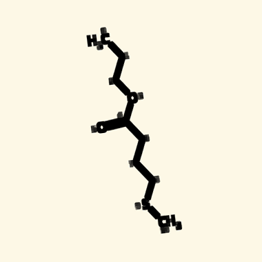 CCCOC(=O)CCCSC